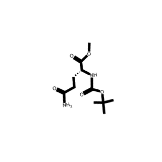 COC(=O)[C@@H](CCC(N)=O)NC(=O)OC(C)(C)C